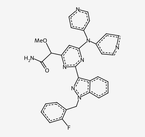 COC(C(N)=O)c1cc(N(c2ccncc2)c2ccncc2)nc(-c2nn(Cc3ccccc3F)c3ccccc23)n1